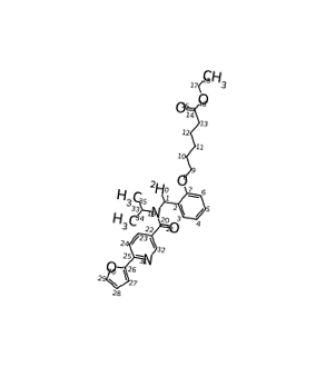 [2H]C(c1ccccc1OCCCCCC(=O)OCC)N(C(=O)c1ccc(-c2ccco2)nc1)C(C)C